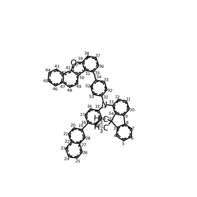 CC1(C)c2ccccc2-c2cccc(N(c3ccc(-c4ccc5ccccc5c4)cc3)c3ccc(-c4cccc5oc6c7ccccc7ccc6c45)cc3)c21